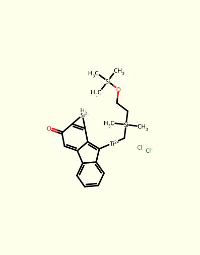 C[Si](C)(CCO[Si](C)(C)C)[CH2][Ti+2][C]1=C2C(=CC(=O)C3=C2[SiH2]3)c2ccccc21.[Cl-].[Cl-]